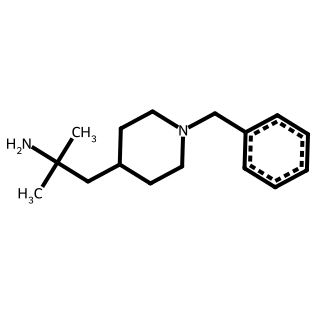 CC(C)(N)CC1CCN(Cc2ccccc2)CC1